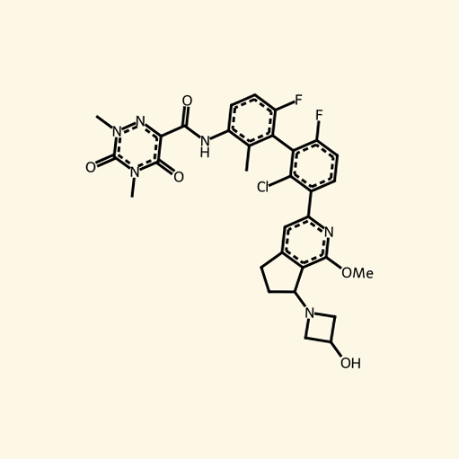 COc1nc(-c2ccc(F)c(-c3c(F)ccc(NC(=O)c4nn(C)c(=O)n(C)c4=O)c3C)c2Cl)cc2c1C(N1CC(O)C1)CC2